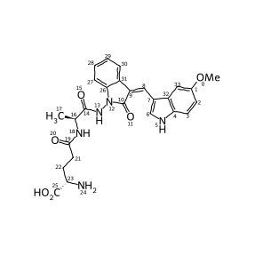 COc1ccc2[nH]cc(C=C3C(=O)N(NC(=O)[C@H](C)NC(=O)CC[C@H](N)C(=O)O)c4ccccc43)c2c1